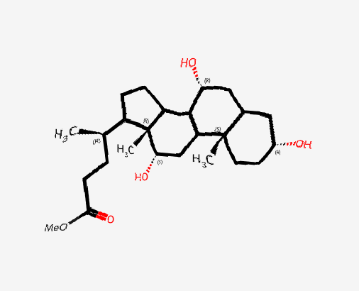 COC(=O)CC[C@@H](C)C1CCC2C3C(C[C@H](O)[C@@]21C)[C@@]1(C)CC[C@@H](O)CC1C[C@H]3O